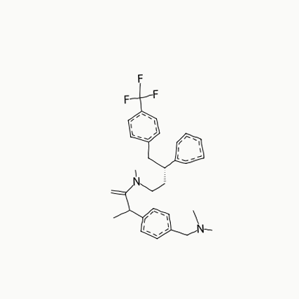 C=C(C(C)c1ccc(CN(C)C)cc1)N(C)CC[C@H](Cc1ccc(C(F)(F)F)cc1)c1ccccc1